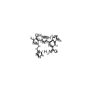 Cc1nn(CCn2ccnn2)c(-c2n[nH]c(-c3nc(C(N)=O)cc4c3cnn4C)n2)c1O